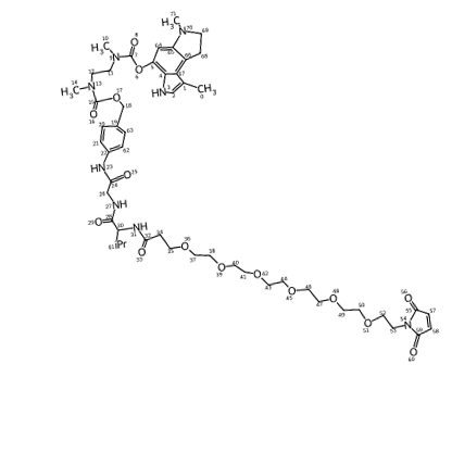 Cc1c[nH]c2c(OC(=O)N(C)CCN(C)C(=O)OCc3ccc(NC(=O)CNC(=O)C(NC(=O)CCOCCOCCOCCOCCOCCOCCN4C(=O)C=CC4=O)C(C)C)cc3)cc3c(c12)CCN3C